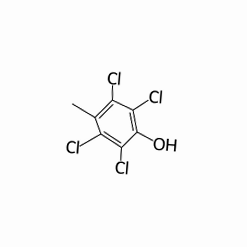 Cc1c(Cl)c(Cl)c(O)c(Cl)c1Cl